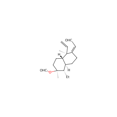 C=C[C@@]1(C)/C(=C\C=O)CC[C@@H]2[C@@H]1CC[C@](C)(OC=O)[C@H]2CC